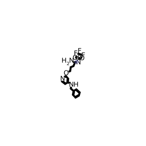 N/C(CCCOc1cc(NCc2ccccc2)ccn1)=N\S(=O)(=O)C(F)(F)F